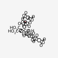 O=C(O)C1C2CCC(C1C(=O)O)C(C(=O)O)C2C(=O)O.O=C1OC(=O)C23C(=O)OC(=O)C24CCC(C4)C13.O=C1OC(=O)C2C1CC1C(=O)OC(=O)C12.O=C1OC(=O)C2C3C=CC(C12)C1C(=O)OC(=O)C31.O=C1OC(=O)C2CC3C(=O)OC(=O)C3CC12